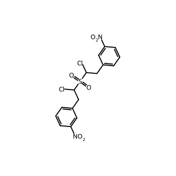 O=[N+]([O-])c1cccc(CC(Cl)S(=O)(=O)C(Cl)Cc2cccc([N+](=O)[O-])c2)c1